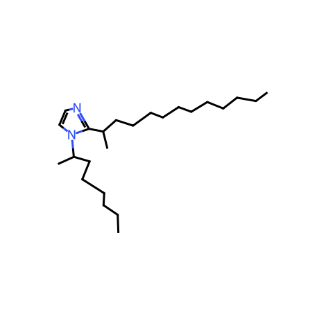 CCCCCCCCCCCC(C)c1nccn1C(C)CCCCCC